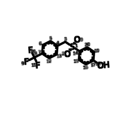 O=S(=O)(Cc1ccc(C(F)(F)F)cc1)c1ccc(O)cc1